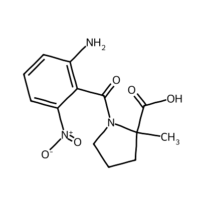 CC1(C(=O)O)CCCN1C(=O)c1c(N)cccc1[N+](=O)[O-]